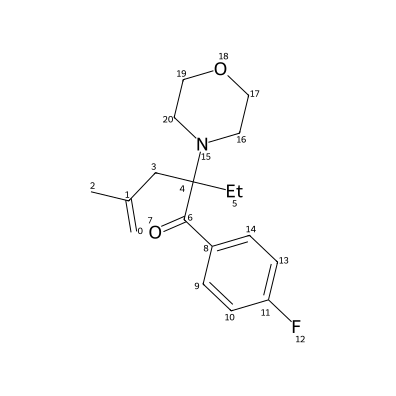 C=C(C)CC(CC)(C(=O)c1ccc(F)cc1)N1CCOCC1